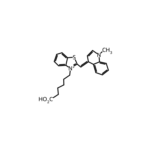 CN1C=CC(=Cc2sc3ccccc3[n+]2CCCCCC(=O)O)c2ccccc21